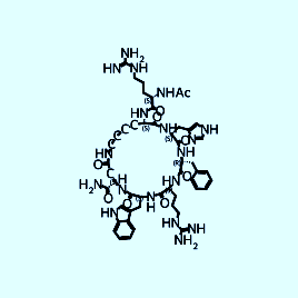 CC(=O)N[C@@H](CCCNC(=N)N)C(=O)N[C@H]1CCCCNC(=O)C[C@@H](C(N)=O)NC(=O)[C@H](Cc2c[nH]c3ccccc23)NC(=O)[C@H](CCCNC(=N)N)NC(=O)[C@@H](Cc2ccccc2)NC(=O)[C@H](Cc2c[nH]cn2)NC1=O